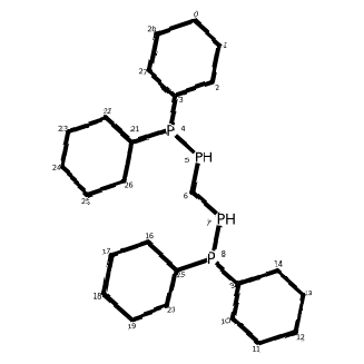 C1CCC(P(PCPP(C2CCCCC2)C2CCCCC2)C2CCCCC2)CC1